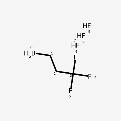 BCCC(F)(F)F.F.F.F